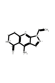 C=Cn1ncc2c(N)c3c(nc21)CCNC3=O